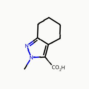 Cn1nc2c(c1C(=O)O)CCCC2